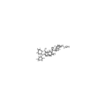 CCn1c(C(c2ccccc2)c2ccccc2)nc2nc(Cl)c(C(=O)Nc3cnn(CCO)c3)cc21